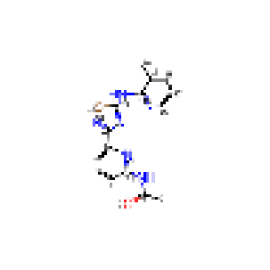 CC(=O)Nc1cccc(-c2nsc(Nc3ncccc3C)n2)n1